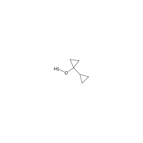 SOC1(C2CC2)CC1